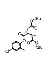 Cc1cc(Cl)ccc1OC(=O)[C@H](CC(=O)OC(C)(C)C)NC(=O)OC(C)(C)C